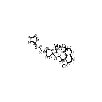 COc1ccc2ncc(Cl)c([C@@H](F)CCC3(CC(=O)O)CCN(CCSc4cccs4)CC3)c2c1